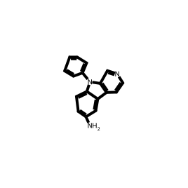 Nc1ccc2c(c1)c1ccncc1n2-c1ccccc1